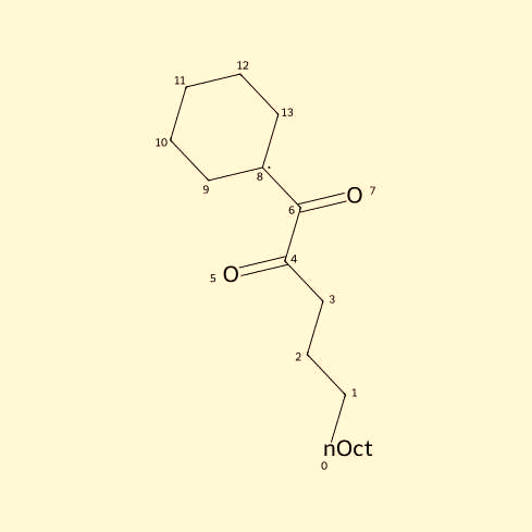 CCCCCCCCCCCC(=O)C(=O)[C]1CCCCC1